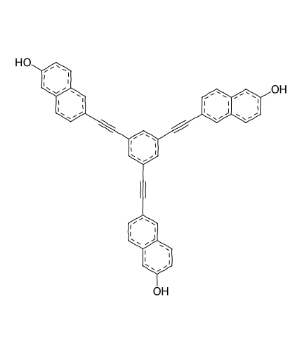 Oc1ccc2cc(C#Cc3cc(C#Cc4ccc5cc(O)ccc5c4)cc(C#Cc4ccc5cc(O)ccc5c4)c3)ccc2c1